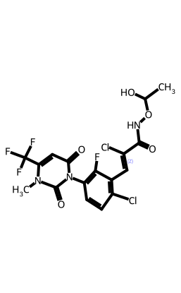 CC(O)ONC(=O)/C(Cl)=C/c1c(Cl)ccc(-n2c(=O)cc(C(F)(F)F)n(C)c2=O)c1F